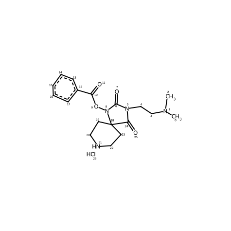 CN(C)CCN1C(=O)N(OC(=O)c2ccccc2)C2(CCNCC2)C1=O.Cl